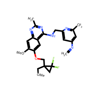 C=Nc1cc(CNc2nc(C)nc3cc(OC)c(OCC4(COC)CC4(F)F)cc23)nc(C(F)(F)F)c1